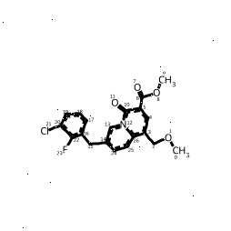 COCc1cc(C(=O)OC)c(=O)n2cc(Cc3cccc(Cl)c3F)ccc12